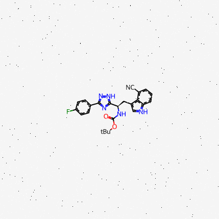 CC(C)(C)OC(=O)N[C@H](Cc1c[nH]c2cccc(C#N)c12)c1nc(-c2ccc(F)cc2)n[nH]1